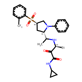 CC[C@H](NC(C)[C@@H]1C[C@@H](S(=O)(=O)c2ccccc2C(F)(F)F)CN1c1ccccc1)C(=O)C(=O)NC1CC1